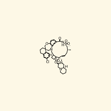 CO[C@]1(CN2C[C@H]3CCCCN3CC2=O)/C=C/C[C@H](C)[C@@H](C)S(=O)(=O)NC(=O)c2ccc3c(c2)N(C[C@@H]2CC[C@H]21)C[C@@]1(CCCc2cc(Cl)ccc21)CO3